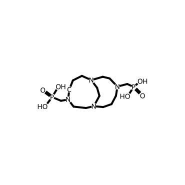 O=P(O)(O)CN1CCCN2CCN(CCCN(CP(=O)(O)O)CC2)CC1